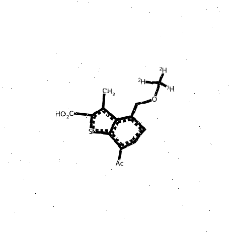 [2H]C([2H])([2H])OCc1ccc(C(C)=O)c2sc(C(=O)O)c(C)c12